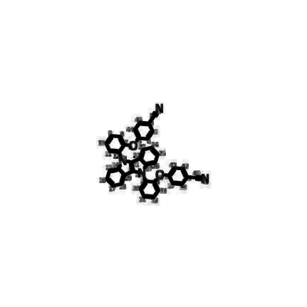 N#Cc1ccc(Oc2ccccc2-n2c3ccccc3c3c2c2ccccc2n3-c2ccccc2Oc2ccc(C#N)cc2)cc1